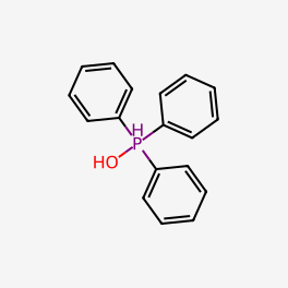 O[PH](c1ccccc1)(c1ccccc1)c1ccccc1